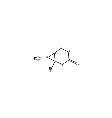 CCC12CC(=O)CCC1C2C(=O)O